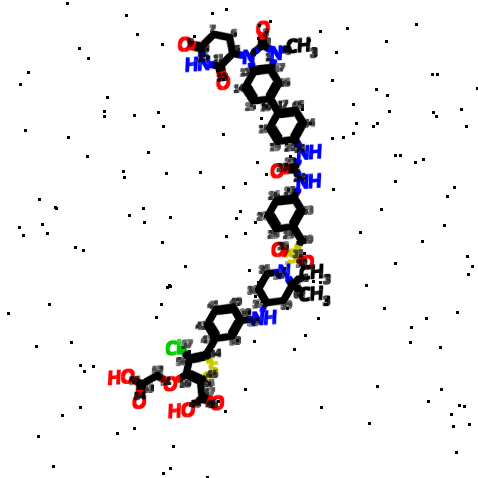 Cn1c(=O)n(C2CCC(=O)NC2=O)c2ccc(-c3ccc(NC(=O)Nc4cccc(CS(=O)(=O)N5CC[C@H](Nc6cccc(-c7sc(C(=O)O)c(OCC(=O)O)c7Cl)c6)CC5(C)C)c4)cc3)cc21